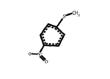 CSc1[c]cc([N+](=O)[O-])cc1